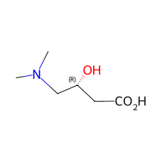 CN(C)C[C@H](O)CC(=O)O